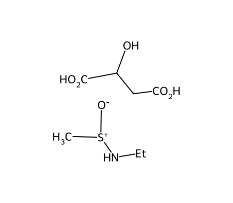 CCN[S+](C)[O-].O=C(O)CC(O)C(=O)O